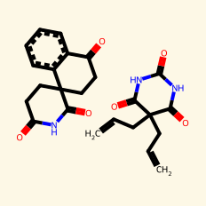 C=CCC1(CC=C)C(=O)NC(=O)NC1=O.O=C1CCC2(CCC(=O)c3ccccc32)C(=O)N1